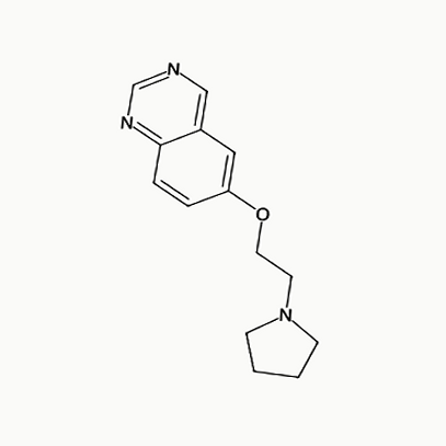 c1ncc2cc(OCCN3CCCC3)ccc2n1